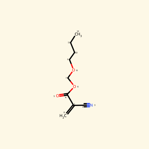 C=C(C#N)C(=O)OCOCCCC